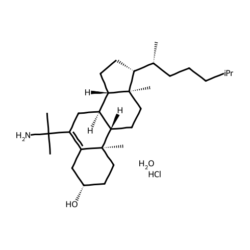 CC(C)CCC[C@@H](C)[C@H]1CC[C@H]2[C@@H]3CC(C(C)(C)N)=C4C[C@@H](O)CC[C@]4(C)[C@H]3CC[C@]12C.Cl.O